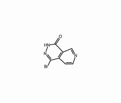 O=c1[nH]nc(Br)c2ccncc12